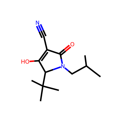 CC(C)CN1C(=O)C(C#N)=C(O)C1C(C)(C)C